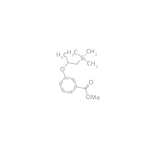 COC(=O)c1cccc(OC(C)C[Si](C)(C)C)c1